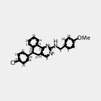 COc1ccc(CNc2ncc3c(n2)-c2ccccc2C(c2ccc(Cl)cc2)C3)cc1